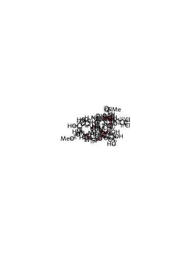 CN[C@H](CC(C)C)C(=O)N[C@H]1C(=O)N[C@@H](CC(N)=O)C(=O)NC2C(=O)N[C@H]3C(=O)N[C@H](C(=O)N[C@@H](NOCCOC)c4cc(O)cc(O)c4-c4cc3ccc4O)[C@H](O)c3ccc(c(Cl)c3)Oc3cc2cc(c3O[C@@H]2O[C@H](CO)[C@@H](O)[C@H](O)[C@H]2O[C@H]2C[C@](C)(NCCn3ccc(NC(=O)Cc4ccc(Cl)c(Cl)c4)nc3=O)[C@H](O)[C@H](C)O2)Oc2ccc(cc2Cl)[C@H]1O